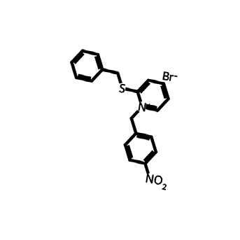 O=[N+]([O-])c1ccc(C[n+]2ccccc2SCc2ccccc2)cc1.[Br-]